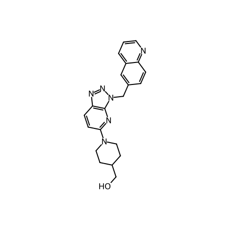 OCC1CCN(c2ccc3nnn(Cc4ccc5ncccc5c4)c3n2)CC1